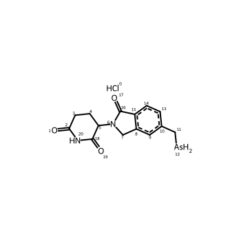 Cl.O=C1CCC(N2Cc3cc(C[AsH2])ccc3C2=O)C(=O)N1